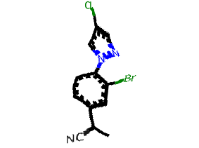 CC(C#N)c1ccc(-n2cc(Cl)cn2)c(Br)c1